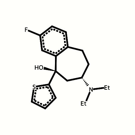 CCN(CC)[C@H]1CCc2ccc(F)cc2[C@@](O)(c2cccs2)C1